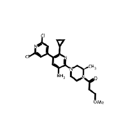 COCCC(=O)N1CCN(c2nc(C3CC3)c(-c3cc(Cl)nc(Cl)c3)cc2N)C[C@H]1C